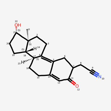 C[C@]12CCC3=C4CC(CC#N)C(=O)C=C4CC[C@H]3[C@@H]1CC[C@@H]2O